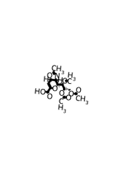 CO[C@H]([C@@H]1OC(C(=O)O)=C[C@H]2OC(C)=N[C@H]12)[C@H](COC(C)=O)OC(C)=O